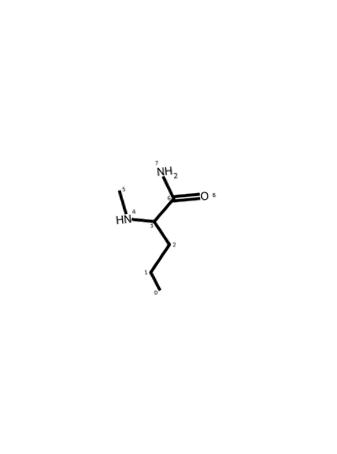 CCCC(NC)C(N)=O